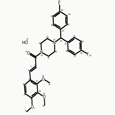 COc1ccc(/C=C/C(=O)N2CCN(C(c3ccc(F)cc3)c3ccc(F)cc3)CC2)c(OC)c1OC.Cl